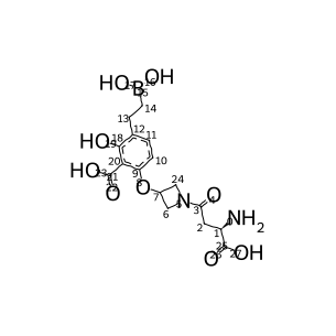 N[C@H](CC(=O)N1CC(Oc2ccc(CCB(O)O)c(O)c2C(=O)O)C1)C(=O)O